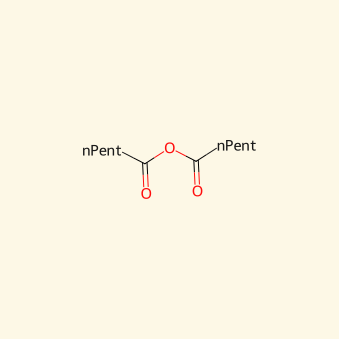 CCCCCC(=O)OC(=O)CCCCC